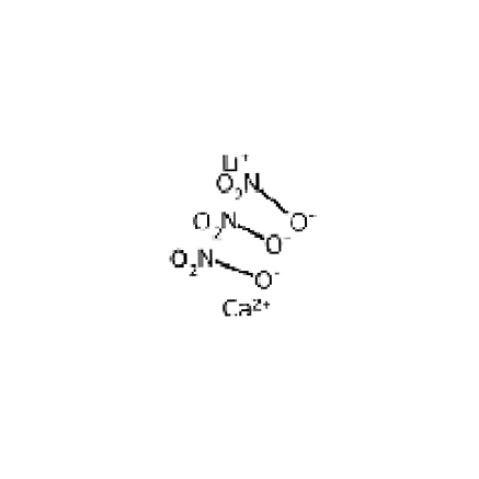 O=[N+]([O-])[O-].O=[N+]([O-])[O-].O=[N+]([O-])[O-].[Ca+2].[Li+]